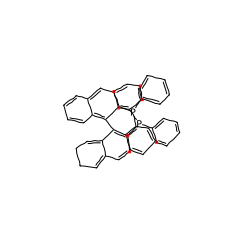 C1=c2ccccc2=C(c2c(P(c3ccccc3)c3ccccc3)ccc3c2=CCCC=3)C(P(c2ccccc2)c2ccccc2)C1